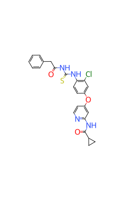 O=C(Cc1ccccc1)NC(=S)Nc1ccc(Oc2ccnc(NC(=O)C3CC3)c2)cc1Cl